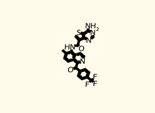 Cc1ccc2c(C(=O)c3ccc(C(F)(F)F)cc3)nccc2c1NC(=O)c1csc2c(N)ncnc12